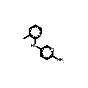 Cc1cccnc1Nc1ccc(N)nc1